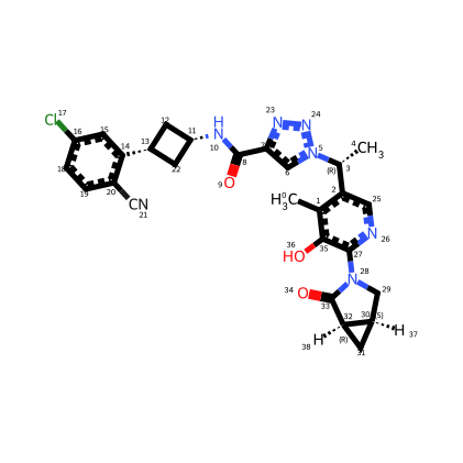 Cc1c([C@@H](C)n2cc(C(=O)N[C@H]3C[C@@H](c4cc(Cl)ccc4C#N)C3)nn2)cnc(N2C[C@H]3C[C@H]3C2=O)c1O